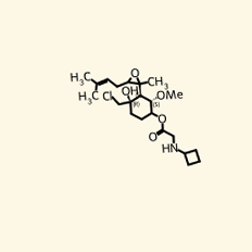 CO[C@@H]1C(OC(=O)CNC2CCC2)CC[C@](O)(CCl)[C@H]1C1(C)OC1CC=C(C)C